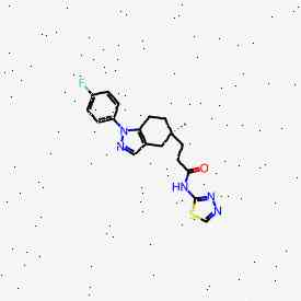 C[C@@]1(CCC(=O)Nc2nncs2)CCc2c(cnn2-c2ccc(F)cc2)C1